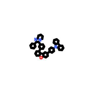 c1ccc(-c2nc3ccccn3c2-c2cccc(-c3cccc4oc5ccc(-c6ccc(-n7c8ccccc8c8ccccc87)cc6)cc5c34)c2)cc1